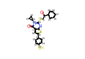 O=C(CSc1nc2sc(-c3ccc(S)cc3)cc2c(=O)n1C1CC1)c1ccccc1